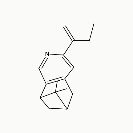 C=C(CC)c1cc2c(cn1)C1CC(C2)C1(C)C